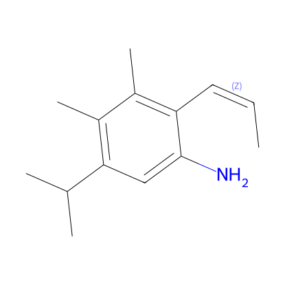 C/C=C\c1c(N)cc(C(C)C)c(C)c1C